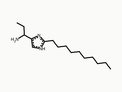 CCCCCCCCCCc1nc(C(N)CC)c[nH]1